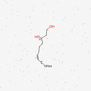 CCCCCCC/C=C\CCC[C@@H](O)CCO